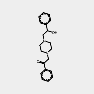 O=C(CN1CCN(CC(O)c2ccccc2)CC1)c1ccccc1